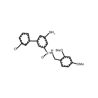 COc1ccc(CN[S+]([O-])c2cc(N)cc(-c3cccc(Cl)c3)c2)c(OC)c1